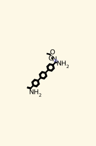 C=C(N)c1ccc(-c2ccc(-c3ccc(/C(N)=N\OC(C)=O)cc3)cc2)cc1